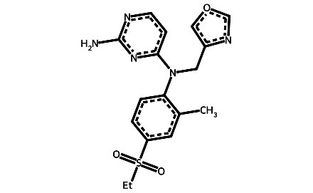 CCS(=O)(=O)c1ccc(N(Cc2cocn2)c2ccnc(N)n2)c(C)c1